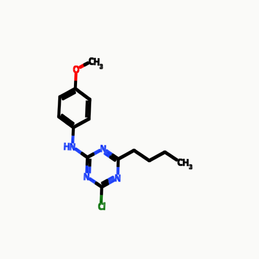 CCCCc1nc(Cl)nc(Nc2ccc(OC)cc2)n1